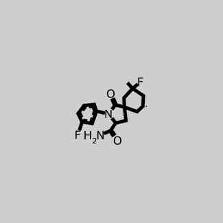 CC1(F)C[CH]CC2(CC(C(N)=O)N(c3cccc(F)c3)C2=O)C1